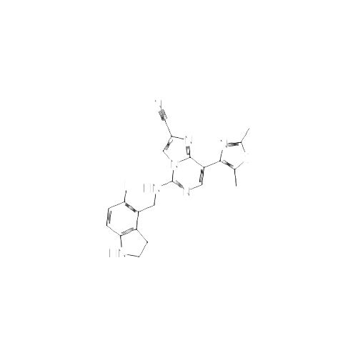 Cc1nc(-c2cnc(NCc3c(F)ccc4c3CCN4)n3cc(C#N)nc23)c(C)s1